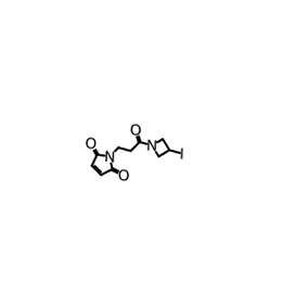 O=C(CCN1C(=O)C=CC1=O)N1CC(I)C1